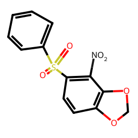 O=[N+]([O-])c1c(S(=O)(=O)c2ccccc2)ccc2c1OCO2